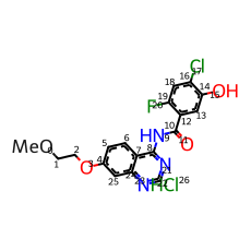 COCCOc1ccc2c(NC(=O)c3cc(O)c(Cl)cc3F)ncnc2c1.Cl